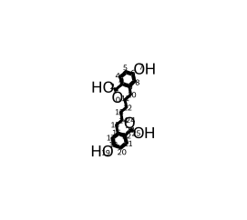 O=C(O)c1ccc(O)cc1CCCCCCc1cc(O)ccc1C(=O)O